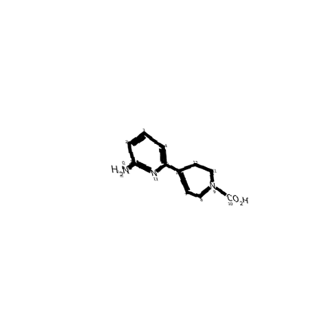 Nc1cccc(C2=CCN(C(=O)O)CC2)n1